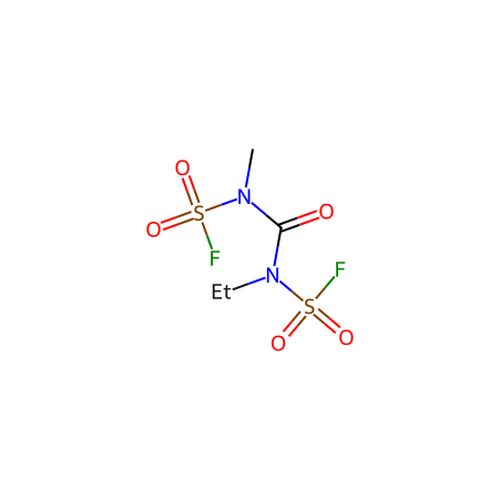 CCN(C(=O)N(C)S(=O)(=O)F)S(=O)(=O)F